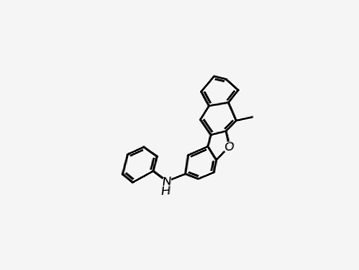 Cc1c2ccccc2cc2c1oc1ccc(Nc3ccccc3)cc12